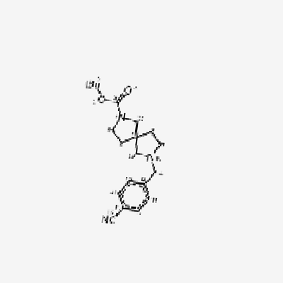 CC(C)(C)OC(=O)N1CCC2(CCN(Cc3ccc(C#N)cc3)C2)C1